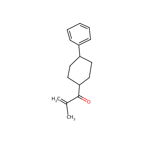 C=C(C)C(=O)C1CCC(c2ccccc2)CC1